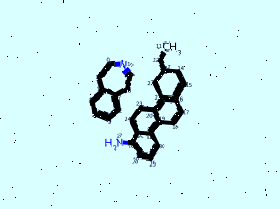 C1=Cc2ccccc2CC=N1.CCC1CC=c2ccc3c(c2C1)CC=c1c(N)cccc1=3